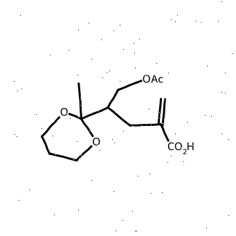 C=C(CC(COC(C)=O)C1(C)OCCCO1)C(=O)O